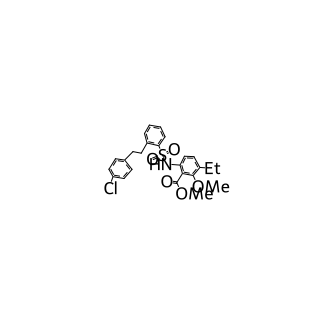 CCc1ccc(NS(=O)(=O)c2ccccc2CCc2ccc(Cl)cc2)c(C(=O)OC)c1OC